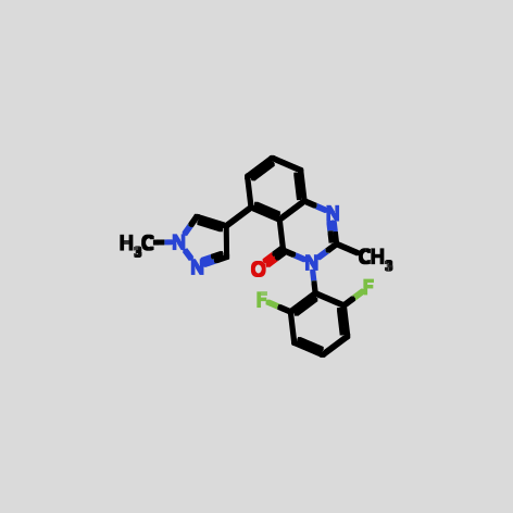 Cc1nc2cccc(-c3cnn(C)c3)c2c(=O)n1-c1c(F)cccc1F